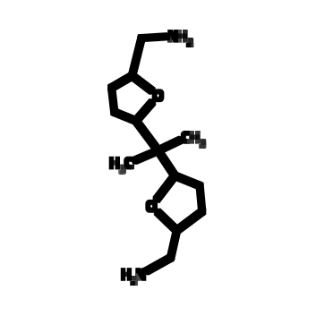 CC(C)(C1CCC(CN)O1)C1CCC(CN)O1